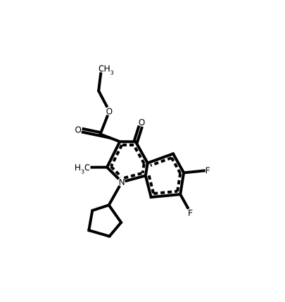 CCOC(=O)c1c(C)n(C2CCCC2)c2cc(F)c(F)cc2c1=O